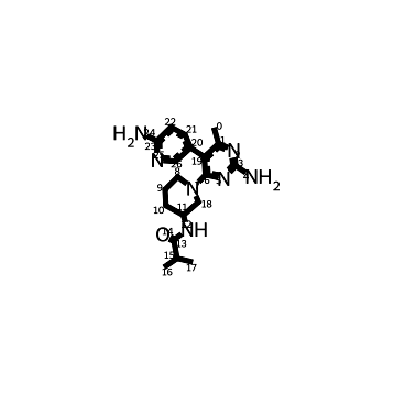 Cc1nc(N)nc(N2CCCC(NC(=O)C(C)C)C2)c1-c1ccc(N)nc1